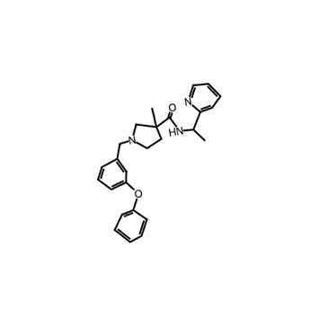 CC(NC(=O)C1(C)CCN(Cc2cccc(Oc3ccccc3)c2)C1)c1ccccn1